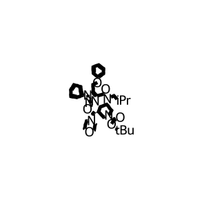 CC(C)CN(C(=O)c1nnn(-c2ccccc2)c1COc1ccccc1)[C@H]1C[C@@H](C(=O)N2CCOCC2)CN(C(=O)OC(C)(C)C)C1